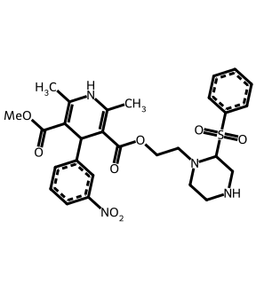 COC(=O)C1=C(C)NC(C)=C(C(=O)OCCN2CCNCC2S(=O)(=O)c2ccccc2)C1c1cccc([N+](=O)[O-])c1